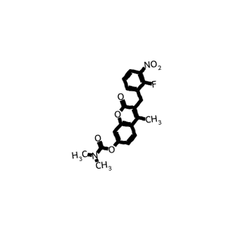 Cc1c(Cc2cccc([N+](=O)[O-])c2F)c(=O)oc2cc(OC(=O)N(C)C)ccc12